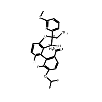 COc1cccc([C@@]2(CN)Oc3ccc(Cl)c(-c4c(C(N)=O)ccc(OC(F)F)c4F)c3[C@@H]2O)n1